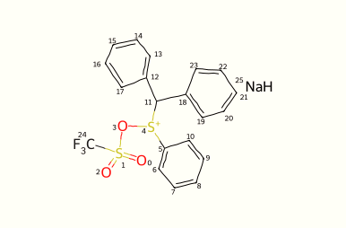 O=S(=O)(O[S+](c1ccccc1)C(c1ccccc1)c1ccccc1)C(F)(F)F.[NaH]